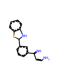 N=C(/C=C\N)c1cccc(C2Nc3ccccc3S2)c1